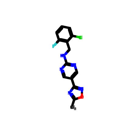 Fc1cccc(Cl)c1CNc1ncc(-c2noc(C(F)(F)F)n2)cn1